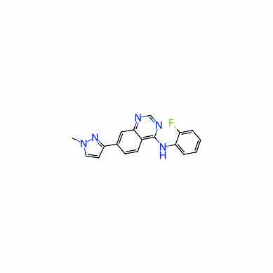 Cn1ccc(-c2ccc3c(Nc4ccccc4F)ncnc3c2)n1